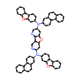 c1ccc2c(c1)ccc1cc(N(c3ccc4c(c3)oc3ccccc34)c3cnc4c(c3)oc3cc(N(c5ccc6c(ccc7ccccc76)c5)c5ccc6c(c5)oc5ccccc56)ncc34)ccc12